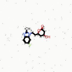 Cc1nc2ccc(F)cc2n1CCC1CC(O)CC(=O)O1